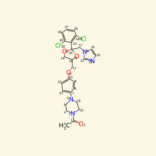 CC(=O)N1CCN(c2ccc(OCC3COC(Cn4ccnc4)(c4c(Cl)cccc4Cl)O3)cc2)CC1